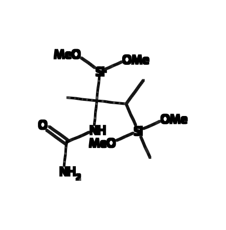 CO[Si](OC)C(C)(NC(N)=O)C(C)[Si](C)(OC)OC